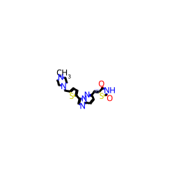 CN1CCN(Cc2ccc(-c3cnc4ccc(/C=C5\SC(=O)NC5=O)nn34)s2)CC1